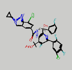 CC(C)(O)c1cc([C@@](O)(CNC(=O)c2cc(Cl)c3nn(C4CC4)cc3c2)c2cccc(F)c2)nc(-c2cc(Cl)c(F)cc2F)c1F